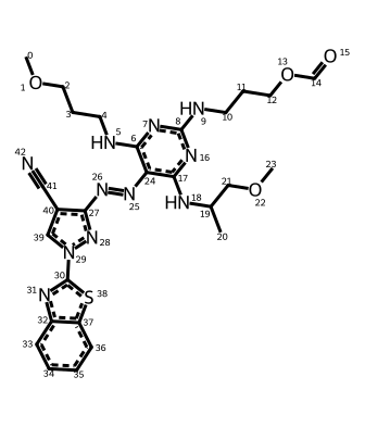 COCCCNc1nc(NCCCOC=O)nc(NC(C)COC)c1N=Nc1nn(-c2nc3ccccc3s2)cc1C#N